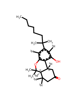 [2H]c1c(O)c2c(c([2H])c1C(C)(C)CCCCCC)OC(C)(C)[C@]1([2H])C([2H])([2H])CC(=O)C[C@@]21[2H]